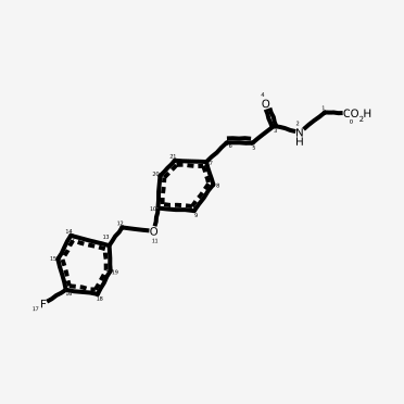 O=C(O)CNC(=O)C=Cc1ccc(OCc2ccc(F)cc2)cc1